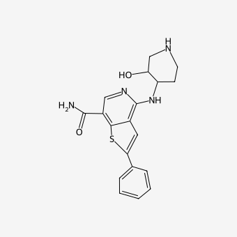 NC(=O)c1cnc(NC2CCNCC2O)c2cc(-c3ccccc3)sc12